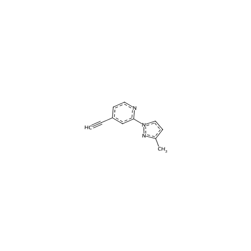 C#Cc1ccnc(-n2ccc(C)n2)c1